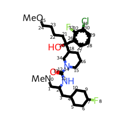 CNCC(CC1CCC(F)CC1)NC(=O)N1CCCC(C(O)(CCCCOC)c2cccc(Cl)c2F)C1